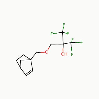 OC(COCC12C=CC(CC1)C2)(C(F)(F)F)C(F)(F)F